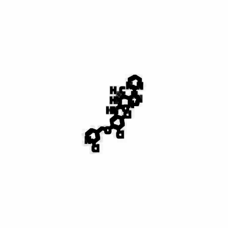 C[C@H](NC(=O)Nc1cc(OCc2ccnc(Cl)c2)c(Cl)cc1Cl)c1ncnn1-c1ncccn1